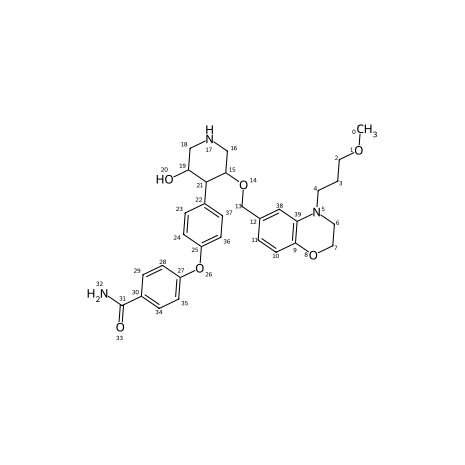 COCCCN1CCOc2ccc(COC3CNCC(O)C3c3ccc(Oc4ccc(C(N)=O)cc4)cc3)cc21